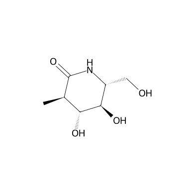 C[C@H]1C(=O)N[C@H](CO)[C@@H](O)[C@@H]1O